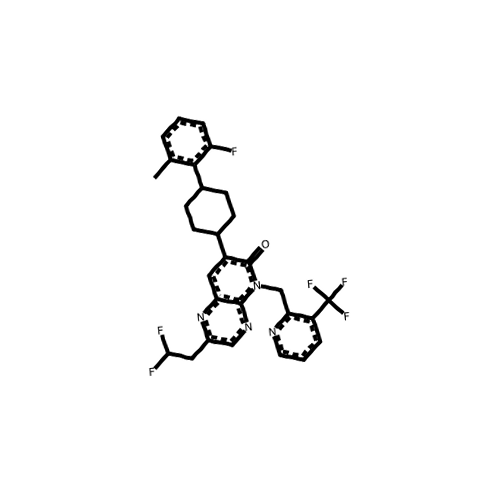 Cc1cccc(F)c1C1CCC(c2cc3nc(CC(F)F)cnc3n(Cc3ncccc3C(F)(F)F)c2=O)CC1